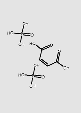 O=C(O)/C=C\C(=O)O.O=P(O)(O)O.O=P(O)(O)O